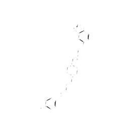 Cc1nc2cc(OC[C@H](O)CN3CCN(CCCCOc4ccc(Cl)cc4)CC3)ccc2s1